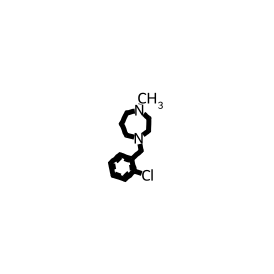 CN1CCCN(Cc2ccccc2Cl)CC1